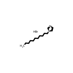 Br.CCCCCCCCCCCn1ccnc1